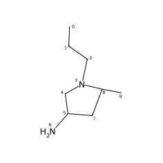 CCCN1CC(N)CC1C